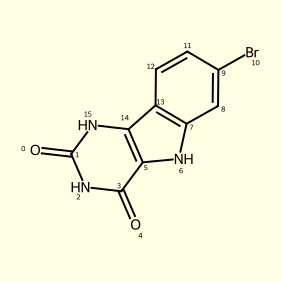 O=c1[nH]c(=O)c2[nH]c3cc(Br)ccc3c2[nH]1